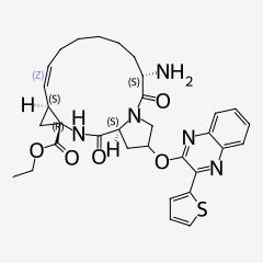 CCOC(=O)[C@@]12C[C@H]1/C=C\CCCCC[C@H](N)C(=O)N1CC(Oc3nc4ccccc4nc3-c3cccs3)C[C@H]1C(=O)N2